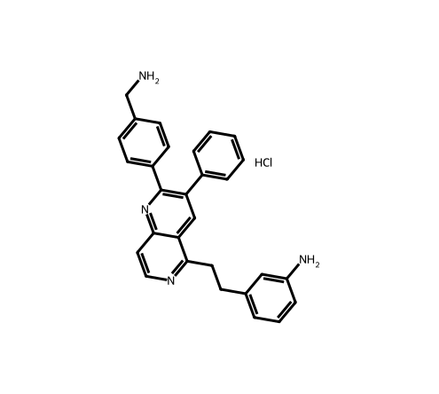 Cl.NCc1ccc(-c2nc3ccnc(CCc4cccc(N)c4)c3cc2-c2ccccc2)cc1